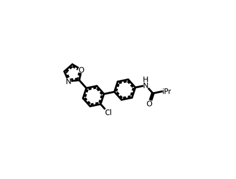 CC(C)C(=O)Nc1ccc(-c2cc(-c3ncco3)ccc2Cl)cc1